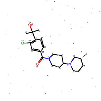 C[C@@H]1CCCN(C2CCN(C(=O)c3ccc(C(C)(C)O)c(Cl)c3)CC2)C1